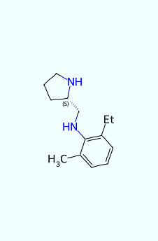 CCc1cccc(C)c1NC[C@@H]1CCCN1